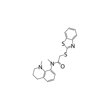 CN1CCCc2cccc(N(C)C(=O)CSc3nc4ccccc4s3)c21